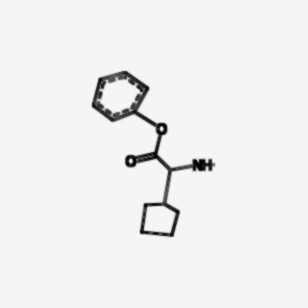 [NH]C(C(=O)Oc1ccccc1)C1CCCC1